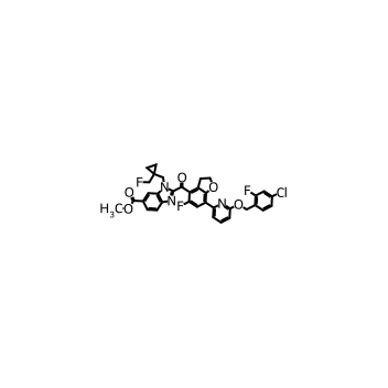 COC(=O)c1ccc2nc(C(=O)c3c(F)cc(-c4cccc(OCc5ccc(Cl)cc5F)n4)c4c3CCO4)n(CC3(CF)CC3)c2c1